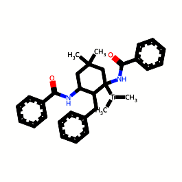 [CH3][Ti]([CH3])[C]1(NC(=O)c2ccccc2)CC(C)(C)CC(NC(=O)c2ccccc2)C1Cc1ccccc1